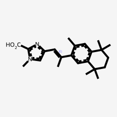 C/C(=C\c1cn(C)c(C(=O)O)n1)c1cc2c(cc1C)C(C)(C)CCC2(C)C